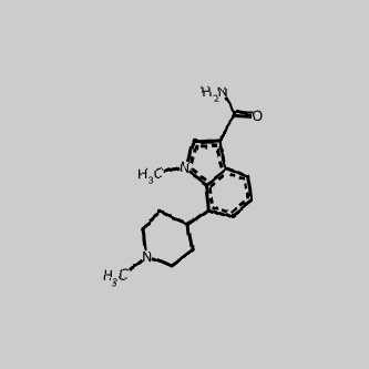 CN1CCC(c2cccc3c(C(N)=O)cn(C)c23)CC1